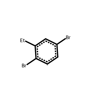 CCc1cc(Br)c[c]c1Br